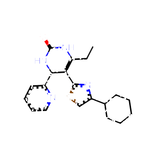 CCC1=C(c2nc(C3CCCCC3)cs2)C(c2ccccn2)NC(=O)N1